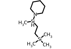 C[SiH](CC[Si](C)(C)C)N1CCCCC1